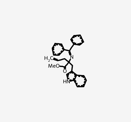 C=CCC(Cc1c[nH]c2ccccc12)(N=C(c1ccccc1)c1ccccc1)C(=O)OC